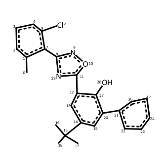 Cc1cccc(Cl)c1-c1noc(-c2cc(C(C)(C)C)cc(-c3ccccc3)c2O)n1